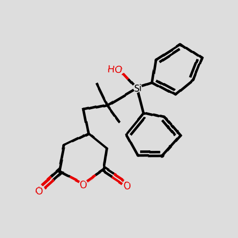 CC(C)(CC1CC(=O)OC(=O)C1)[Si](O)(c1ccccc1)c1ccccc1